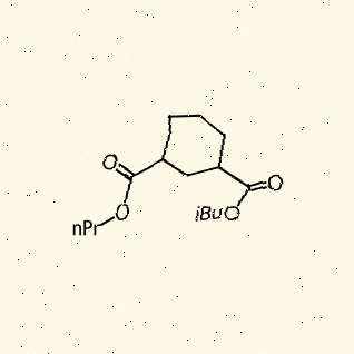 CCCOC(=O)C1CCCC(C(=O)OCC(C)C)C1